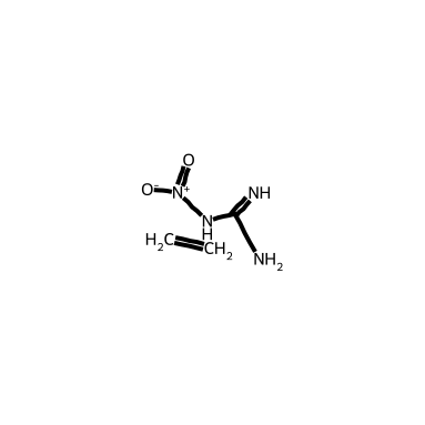 C=C.N=C(N)N[N+](=O)[O-]